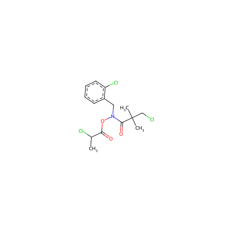 CC(Cl)C(=O)ON(Cc1ccccc1Cl)C(=O)C(C)(C)CCl